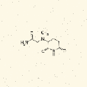 CN(CC(N)=O)C1CCC(=O)NC1=O